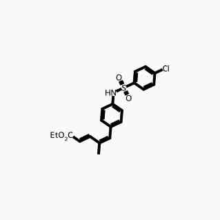 CCOC(=O)C=CC(C)=Cc1ccc(NS(=O)(=O)c2ccc(Cl)cc2)cc1